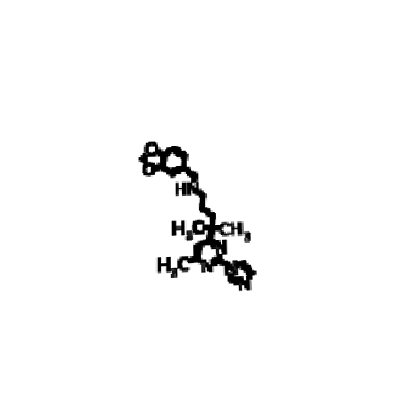 Cc1cc(C(C)(C)CCCNCc2ccc3c(c2)OCO3)nc(-n2ccnc2)n1